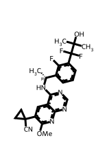 COc1nc2ncnc(N[C@H](C)c3cccc(C(F)(F)C(C)(C)O)c3F)c2cc1C1(C#N)CC1